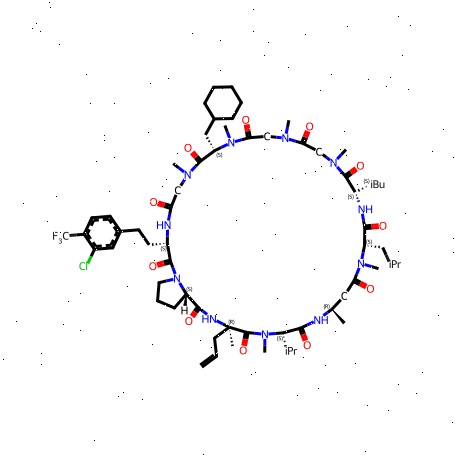 C=CC[C@@]1(C)NC(=O)[C@@H]2CCCN2C(=O)[C@H](CCc2ccc(C(F)(F)F)c(Cl)c2)NC(=O)CN(C)C(=O)[C@H](CC2CCCCC2)N(C)C(=O)CN(C)C(=O)CN(C)C(=O)[C@H]([C@@H](C)CC)NC(=O)[C@H](CC(C)C)N(C)C(=O)C[C@@H](C)NC(=O)[C@H](C(C)C)N(C)C1=O